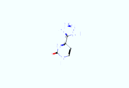 O=c1nc(-c2nnn[nH]2)cc[nH]1